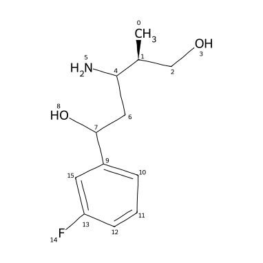 C[C@@H](CO)C(N)CC(O)c1cccc(F)c1